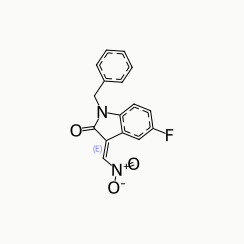 O=C1/C(=C/[N+](=O)[O-])c2cc(F)ccc2N1Cc1ccccc1